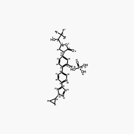 O=C1O[C@H](C(O)C(F)(F)F)CN1c1ccc(-c2ccc(-c3nnn(C4CC4)n3)nc2)c(F)c1.O=P(O)(O)O